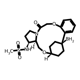 B[C@]12CC[C@H](CC1)OC[C@H]1[C@@H](NS(C)(=O)=O)CCN1C(=O)COc1ccccc12